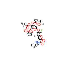 CCNC(=O)c1cc2ccc(OC3C[C@@H](OC(C)=O)[C@@H](OC(C)=O)[C@@H](COC(C)=O)O3)c(CF)c2oc1=O